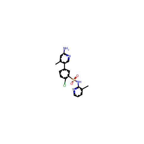 Cc1cc(N)ncc1-c1ccc(Cl)c(S(=O)(=O)Nc2ncccc2C)c1